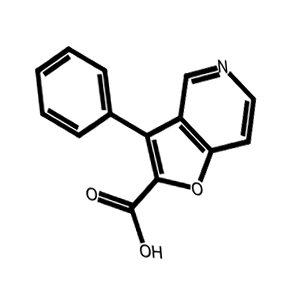 O=C(O)c1oc2ccncc2c1-c1ccccc1